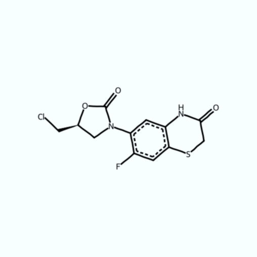 O=C1CSc2cc(F)c(N3C[C@@H](CCl)OC3=O)cc2N1